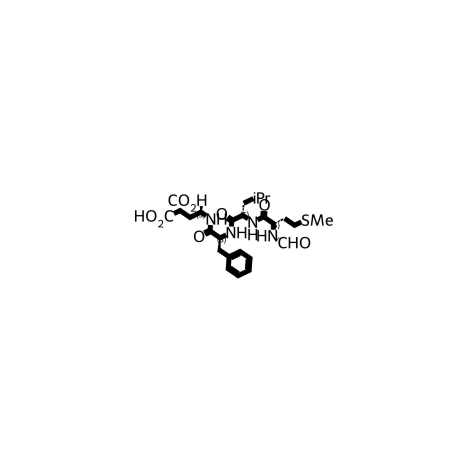 CSCC[C@H](NC=O)C(=O)N[C@@H](CC(C)C)C(=O)N[C@@H](Cc1ccccc1)C(=O)N[C@@H](CCC(=O)O)C(=O)O